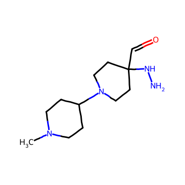 CN1CCC(N2CCC(C=O)(NN)CC2)CC1